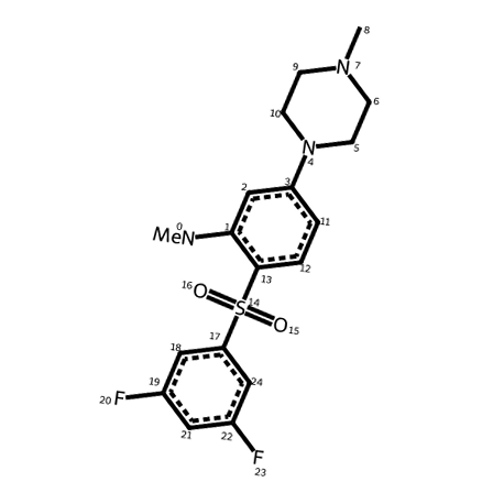 CNc1cc(N2CCN(C)CC2)ccc1S(=O)(=O)c1cc(F)cc(F)c1